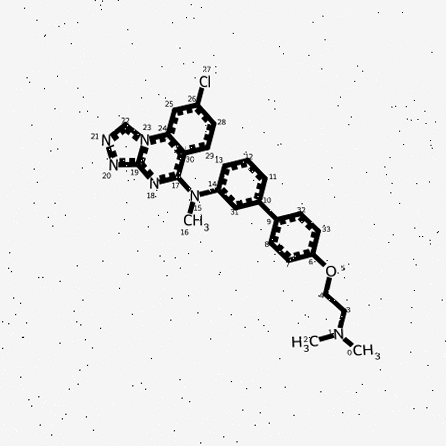 CN(C)CCOc1ccc(-c2cccc(N(C)c3nc4nncn4c4cc(Cl)ccc34)c2)cc1